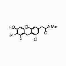 CNC(=O)Cc1cc(Cl)c(Cc2ccc(O)c(C(C)C)c2F)c(Cl)c1